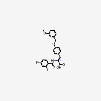 COc1cccc(COc2ccc(/C=C(\NC(=O)c3ccc(F)cc3F)C(=O)O)cc2)c1